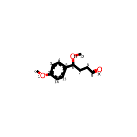 COc1ccc(C(CCC=O)OC)cc1